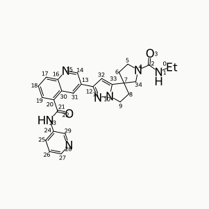 CCNC(=O)N1CCC2(CCn3nc(-c4cnc5cccc(C(=O)Nc6cccnc6)c5c4)cc32)C1